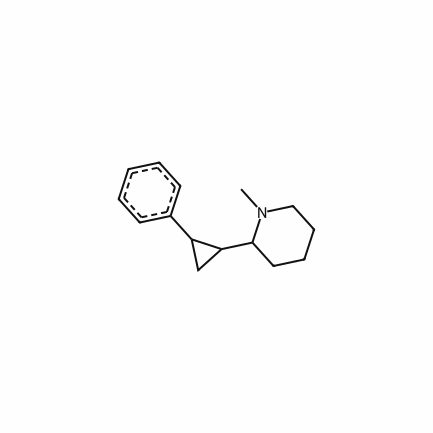 CN1CCCCC1C1CC1c1ccccc1